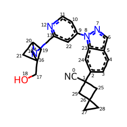 N#CC1(c2ccc3cnn(-c4ccnc(N5CC6(CO)CC5C6)c4)c3c2)CC2(CC2)C1